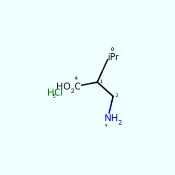 CC(C)C(CN)C(=O)O.Cl